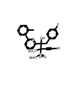 CO[PH](=O)C(C#CC(C)C)(C(=O)O)C(O)(Cc1ccc(F)cc1)c1cccc(-c2ccccc2C)n1